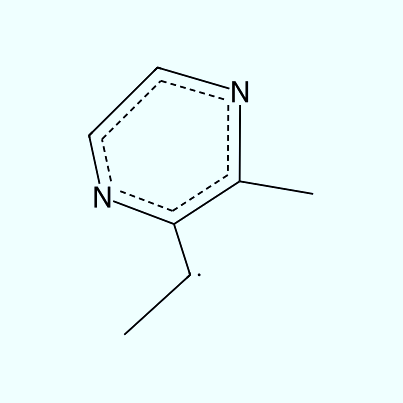 C[CH]c1nccnc1C